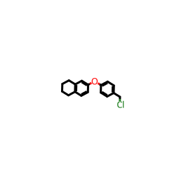 ClCc1ccc(Oc2ccc3c(c2)CCCC3)cc1